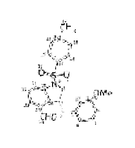 COc1cccc(C[C@H]2CN(S(=O)(=O)c3ccc(C)cc3)c3cccc(C=O)c32)c1